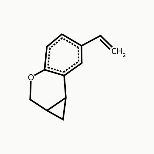 C=Cc1ccc2c(c1)C1CC1CO2